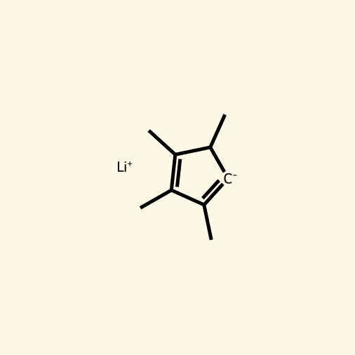 CC1=[C-]C(C)C(C)=C1C.[Li+]